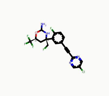 NC1N[C@](CF)(c2cc(C#Cc3ncc(Cl)cn3)ccc2F)C[C@@H](C(F)(F)F)O1